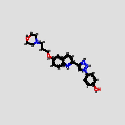 Oc1ccc(-n2cc(-c3ccc4cc(OCCCN5CCOCC5)ccc4n3)nn2)cc1